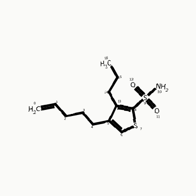 C=CCCCc1csc(S(N)(=O)=O)c1CCC